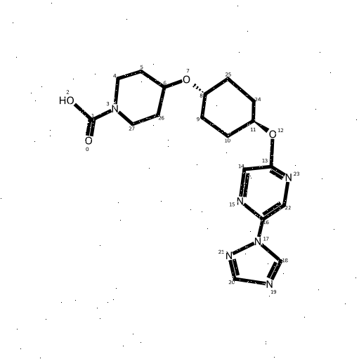 O=C(O)N1CCC(O[C@H]2CC[C@H](Oc3cnc(-n4cncn4)cn3)CC2)CC1